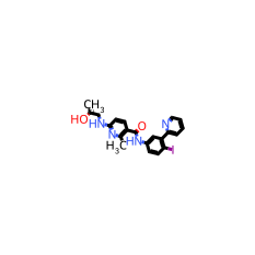 Cc1nc(NC[C@H](C)O)ccc1C(=O)Nc1ccc(I)c(-c2ccccn2)c1